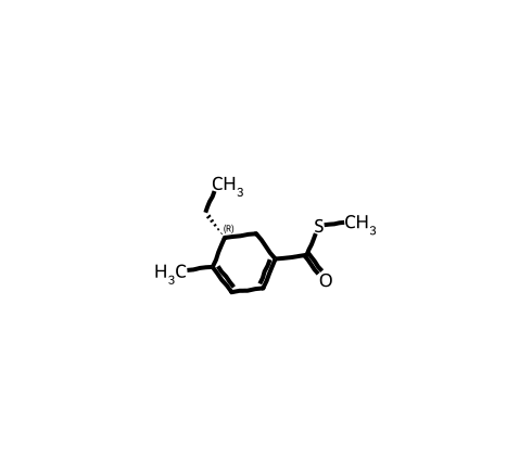 CC[C@@H]1CC(C(=O)SC)=CC=C1C